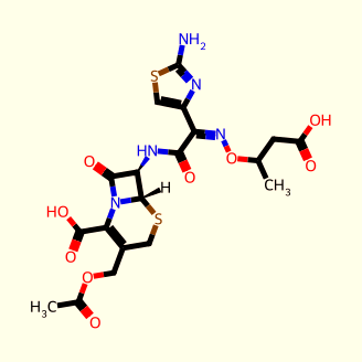 CC(=O)OCC1=C(C(=O)O)N2C(=O)[C@@H](NC(=O)/C(=N\OC(C)CC(=O)O)c3csc(N)n3)[C@@H]2SC1